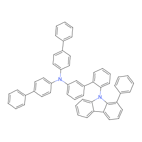 c1ccc(-c2ccc(N(c3ccc(-c4ccccc4)cc3)c3cccc(-c4ccccc4-n4c5ccccc5c5cccc(-c6ccccc6)c54)c3)cc2)cc1